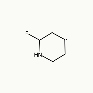 FC1C[CH][CH]CN1